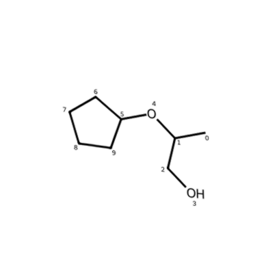 CC(CO)OC1CCCC1